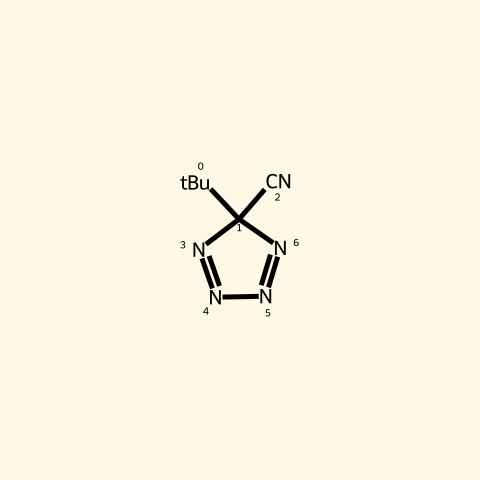 CC(C)(C)C1(C#N)N=NN=N1